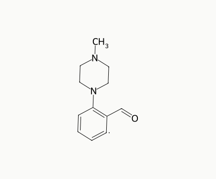 CN1CCN(c2ccc[c]c2C=O)CC1